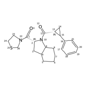 O=C([C@H]1CC2CCCCC2N1C(=O)[C@@H]1CC1c1ccccc1)N1CCSC1